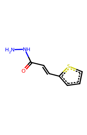 NNC(=O)C=Cc1cccs1